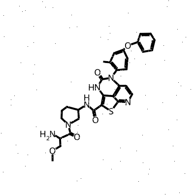 COCC(N)C(=O)N1CCCC(NC(=O)c2sc3nccc4c3c2NC(=O)N4c2ccc(Oc3ccccc3)cc2C)C1